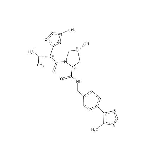 Cc1coc([C@H](C(=O)N2C[C@H](O)C[C@H]2C(=O)NCc2ccc(-c3scnc3C)cc2)C(C)C)n1